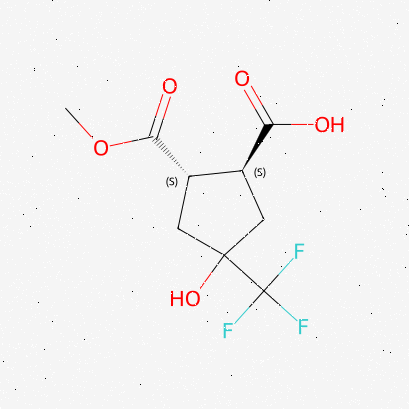 COC(=O)[C@H]1CC(O)(C(F)(F)F)C[C@@H]1C(=O)O